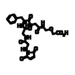 O=C(O)COCNC(=O)CNC(=O)[C@H](Cc1ccccc1)NC(=O)CNC(=O)CNN1C(=O)C=CC1=O